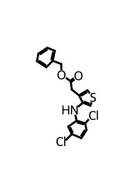 O=C(Cc1cscc1Nc1cc(Cl)ccc1Cl)OCc1ccccc1